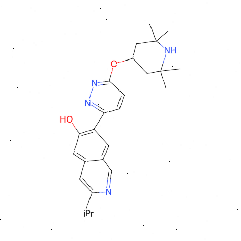 CC(C)c1cc2cc(O)c(-c3ccc(OC4CC(C)(C)NC(C)(C)C4)nn3)cc2cn1